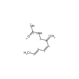 C=C(/C=C\C=C\C)CNC(=O)CCC